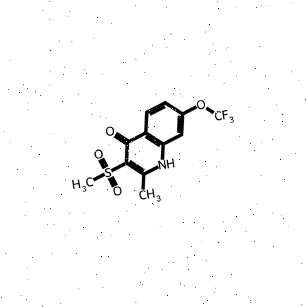 Cc1[nH]c2cc(OC(F)(F)F)ccc2c(=O)c1S(C)(=O)=O